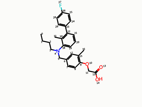 CCCCN(Cc1ccc(OCC(=O)O)c(C)c1)c1cccc(-c2ccc(F)cc2)c1C